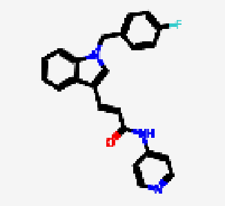 O=C(C=Cc1cn(Cc2ccc(F)cc2)c2ccccc12)Nc1ccncc1